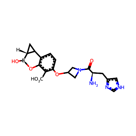 N[C@H](Cc1c[nH]cn1)C(=O)N1CC(Oc2ccc3c(c2C(=O)O)OB(O)[C@@H]2CC32)C1